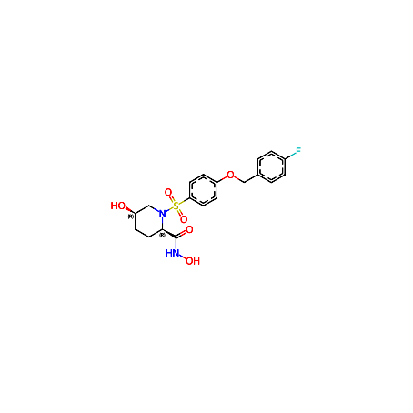 O=C(NO)[C@H]1CC[C@@H](O)CN1S(=O)(=O)c1ccc(OCc2ccc(F)cc2)cc1